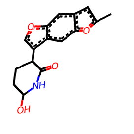 Cc1cc2cc3occ(C4CCC(O)NC4=O)c3cc2o1